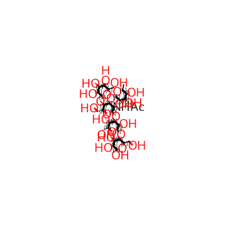 CC(=O)N[C@H]1[C@H](O[C@H]2[C@@H](O)[C@@H](CO)O[C@@H](O[C@H]3[C@H](O)[C@@H](O)[C@H](O)O[C@@H]3CO)[C@@H]2O)O[C@H](CO)[C@@H](O[C@@H]2O[C@H](CO)[C@H](O)[C@H](O)[C@H]2O)[C@@H]1O[C@@H]1O[C@@H](C)[C@@H](O)[C@@H](O)[C@@H]1O